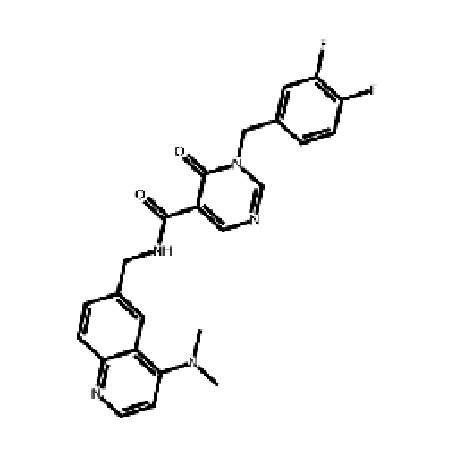 CN(C)c1ccnc2ccc(CNC(=O)c3cncn(Cc4ccc(F)c(F)c4)c3=O)cc12